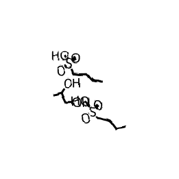 CC(O)CO.CCCCS(=O)(=O)O.CCCCS(=O)(=O)O